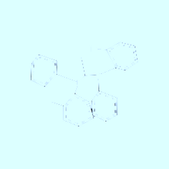 CC(P(c1ccccc1)c1ccccc1O)P(c1ccccc1)c1ccccc1O